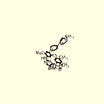 COc1cc(N2CCC(N3CCN(C)CC3)CC2)c(Cl)cc1Nc1ncc(Br)c(Nc2ccc(C)cc2P(C)(C)=O)n1